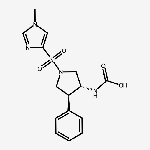 Cn1cnc(S(=O)(=O)N2C[C@H](NC(=O)O)[C@@H](c3ccccc3)C2)c1